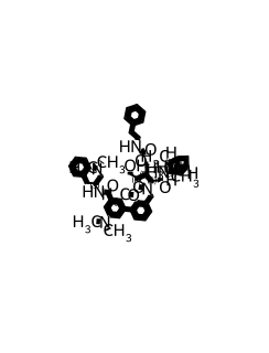 COc1c(CN2O[C@@H](CO)[C@@H](COC(=O)NCCc3ccccc3)[C@H]2C(=O)N[C@H]2C[C@H]3C[C@@H]([C@@H]2C)C3(C)C)cccc1-c1cc(C(=O)N[C@@H](Cc2ccccc2)CN(C)C)cc(N(C)C)c1